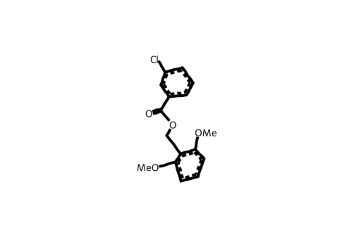 COc1cccc(OC)c1COC(=O)c1cccc(Cl)c1